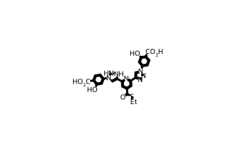 CCSC(=O)c1cc(C2=CN(c3ccc(C(=O)O)c(O)c3)NN2)nc(-c2cn(-c3ccc(C(=O)O)c(O)c3)nn2)c1